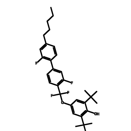 CCCCCc1ccc(-c2ccc(C(F)(F)Oc3cc(C(C)(C)C)c(O)c(C(C)(C)C)c3)c(F)c2)c(F)c1